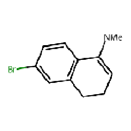 CNC1=CCCc2cc(Br)ccc21